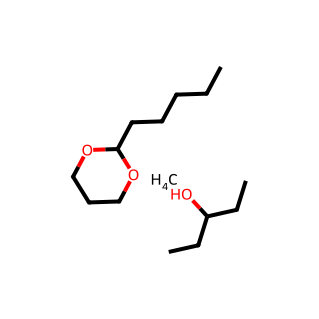 C.CCC(O)CC.CCCCCC1OCCCO1